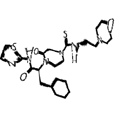 O=C(Nc1nccs1)[C@H](CC1CCCCC1)N1CCN(C(=S)NCCN2CCOCC2)CC1=O